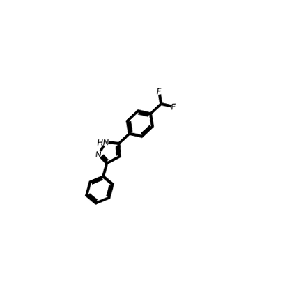 FC(F)c1ccc(-c2cc(-c3ccccc3)n[nH]2)cc1